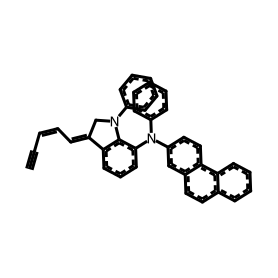 C#C/C=C\C=C1/CN(c2ccccc2)c2c1cccc2N(c1ccccc1)c1ccc2c(ccc3ccccc32)c1